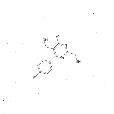 CC(C)c1nc(CS)nc(-c2ccc(F)cc2)c1CO